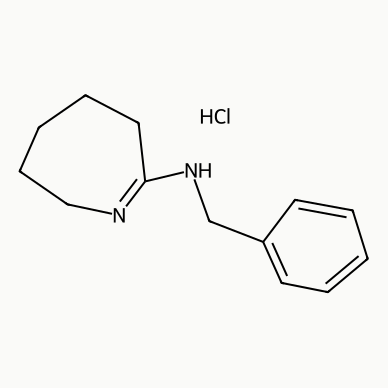 Cl.c1ccc(CNC2=NCCCCC2)cc1